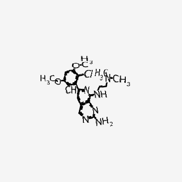 COc1cc(OC)c(Cl)c(-c2cc3cnc(N)nc3c(NCCN(C)C)n2)c1C